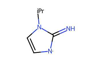 CC(C)N1C=C[N]C1=N